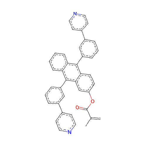 C=C(C)C(=O)Oc1ccc2c(-c3cccc(-c4ccncc4)c3)c3ccccc3c(-c3cccc(-c4ccncc4)c3)c2c1